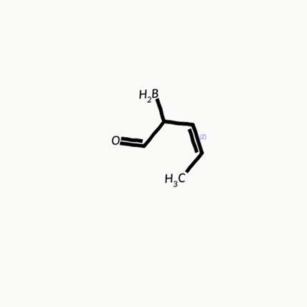 BC(C=O)/C=C\C